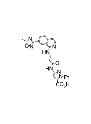 CCn1nc(NC(=O)CCNc2nccc3ccc(-c4noc(C)n4)cc23)cc1C(=O)O